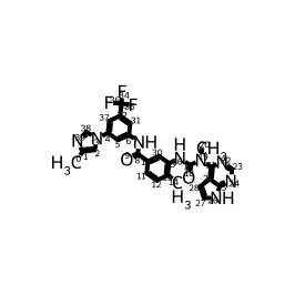 Cc1cn(-c2cc(NC(=O)c3ccc(C)c(NC(=O)N(C)c4ncnc5[nH]ccc45)c3)cc(C(F)(F)F)c2)cn1